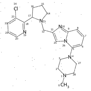 CN1CCN(c2cccc3nc(CN4CCCC4c4ncccc4Cl)cn23)CC1